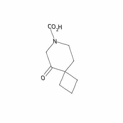 O=C(O)N1CCC2(CCC2)C(=O)C1